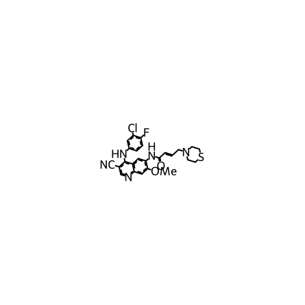 COc1cc2ncc(C#N)c(Nc3ccc(F)c(Cl)c3)c2cc1NC(=O)C=CCN1CCSCC1